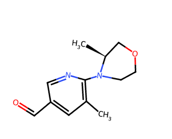 Cc1cc(C=O)cnc1N1CCOC[C@@H]1C